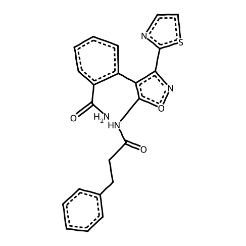 NC(=O)c1ccccc1-c1c(-c2nccs2)noc1NC(=O)CCc1ccccc1